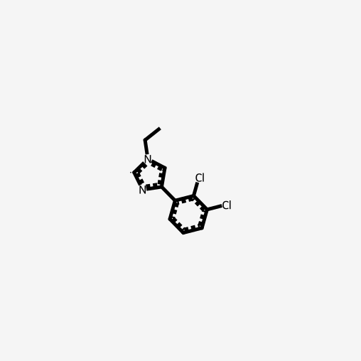 CCn1[c]nc(-c2cccc(Cl)c2Cl)c1